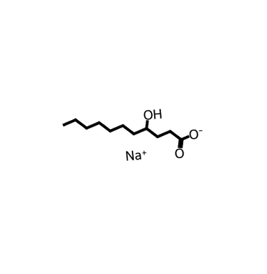 CCCCCCCC(O)CCC(=O)[O-].[Na+]